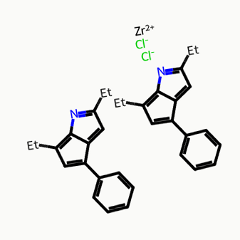 CCC1=NC2=C(CC)C=C(c3ccccc3)C2=C1.CCC1=NC2=C(CC)C=C(c3ccccc3)C2=C1.[Cl-].[Cl-].[Zr+2]